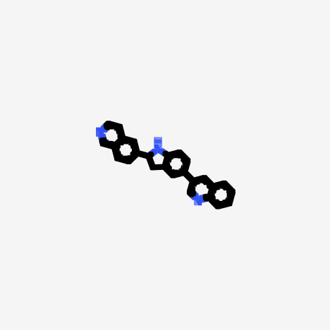 c1ccc2ncc(-c3ccc4c(c3)CC(c3ccc5cnccc5c3)N4)cc2c1